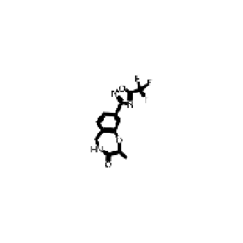 CC1Oc2cc(-c3noc(C(F)(F)F)n3)ccc2CNC1=O